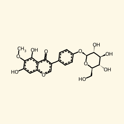 COc1c(O)cc2occ(-c3ccc(O[C@@H]4O[C@H](CO)[C@@H](O)[C@H](O)[C@H]4O)cc3)c(=O)c2c1O